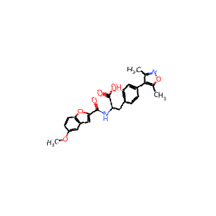 COc1ccc2oc(C(=O)NC(Cc3ccc(-c4c(C)noc4C)cc3)C(=O)O)cc2c1